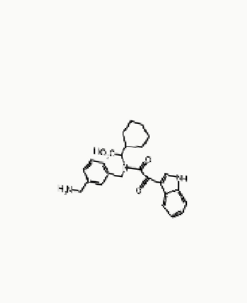 NCc1cccc(CN(C(=O)C(=O)c2c[nH]c3ccccc23)C(C(=O)O)C2CCCCC2)c1